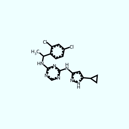 CC(Nc1ncnc(Nc2cc(C3CC3)[nH]n2)n1)c1ccc(Cl)cc1Cl